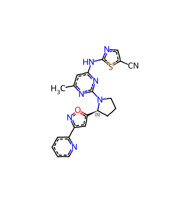 Cc1cc(Nc2ncc(C#N)s2)nc(N2CCC[C@H]2c2cc(-c3ccccn3)no2)n1